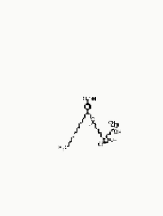 CCCCCCCCCCCCCCCC(CCOC(=O)CCCC=CC[C@@H]1[C@@H](C=CC[C@H](O)C2(CC)CCC2)[C@H](O)C[C@H]1Cl)c1ccc(C(=O)O)cc1